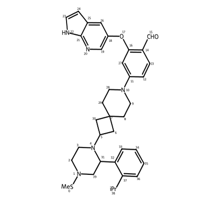 CSN1CCN(C2CC3(CCN(c4ccc(C=O)c(Oc5cnc6[nH]ccc6c5)c4)CC3)C2)C(c2ccccc2C(C)C)C1